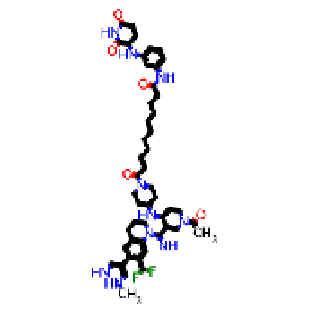 CN/C=C(\C=N)c1cc2c(cc1C(F)F)N(C(=N)C1CN(C(C)=O)CCC1NC1CCN(C(=O)CCCCCCCCCC(=O)Nc3cccc(NC4CCC(=O)NC4=O)c3)CC1)CCC2